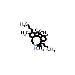 CCC=CC12CC1(C)N/C=C\c1cc(C)c(CCCC)c3c1C(CC)C1=C(C=CCC12)C3(C)C